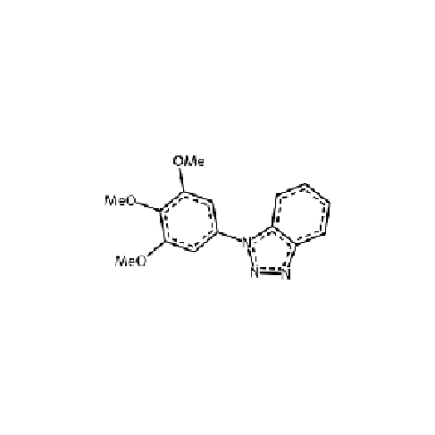 COc1cc(-n2nnc3ccccc32)cc(OC)c1OC